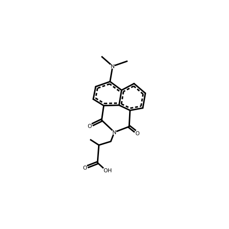 CC(CN1C(=O)c2cccc3c(N(C)C)ccc(c23)C1=O)C(=O)O